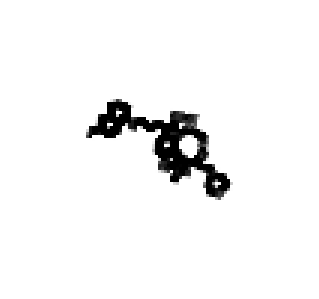 CCc1c2c(nn1C)C(CCN1CCOCC1)OCCCCn1c(C(=O)O)c(CCCOc3cccc4cc(F)ccc34)c3ccc(F)c-2c31